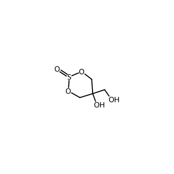 O=S1OCC(O)(CO)CO1